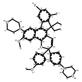 CCC1(CC)c2c(F)cc(F)cc2-c2c1c1c(c3cc(OC)c(N4CCOCC4)cc23)OC(c2ccc(OC)cc2)(c2ccc(N3CCOCC3)cc2)C=C1